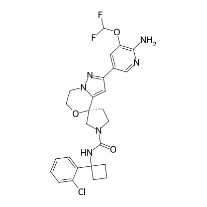 Nc1ncc(-c2cc3n(n2)CCO[C@@]32CCN(C(=O)NC3(c4ccccc4Cl)CCC3)C2)cc1OC(F)F